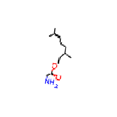 CC(C)=CCCC(C)CCOC(=O)CN